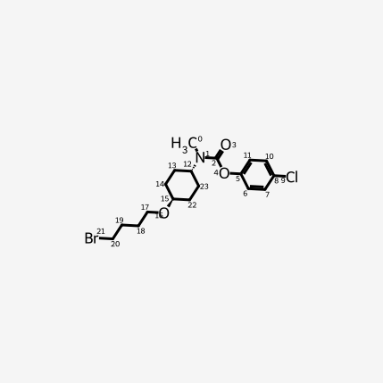 CN(C(=O)Oc1ccc(Cl)cc1)[C@H]1CC[C@H](OCCCCBr)CC1